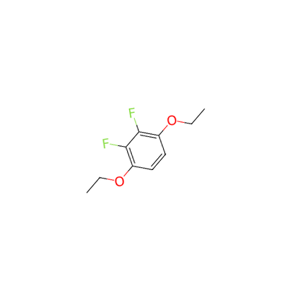 CCOc1ccc(OCC)c(F)c1F